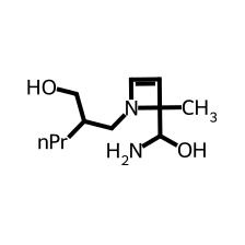 CCCC(CO)CN1C=CC1(C)C(N)O